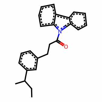 CCC(C)c1cccc(CCC(=O)n2c3ccccc3c3ccccc32)c1